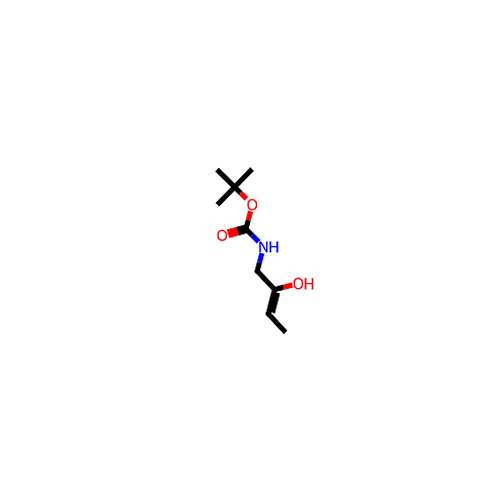 CC=C(O)CNC(=O)OC(C)(C)C